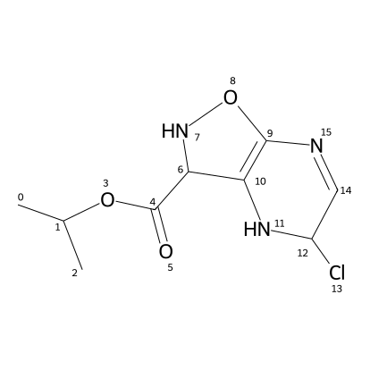 CC(C)OC(=O)C1NOC2=C1NC(Cl)C=N2